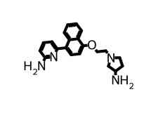 Nc1cccc(-c2ccc(OCCN3CCC(N)C3)c3ccccc23)n1